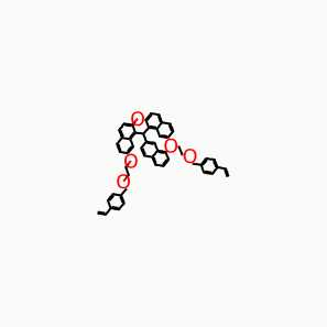 C=Cc1ccc(COCCOc2ccc3ccc4c(c3c2)C(c2ccc3ccccc3c2)c2c(ccc3ccc(OCCOCc5ccc(C=C)cc5)cc23)O4)cc1